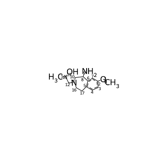 COc1ccc2c(c1)C(N)CN(C[C@H](C)O)CC2